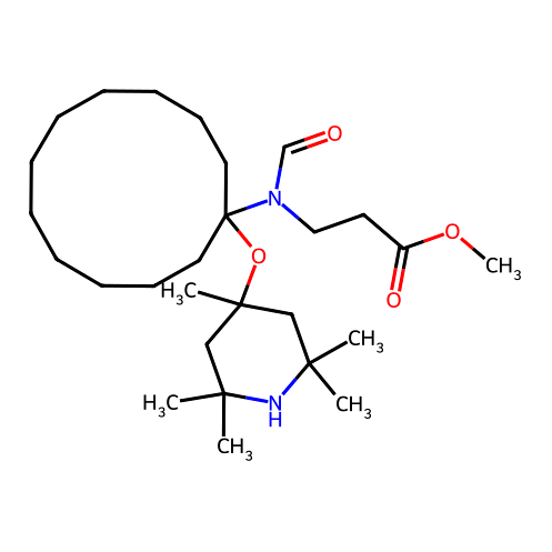 COC(=O)CCN(C=O)C1(OC2(C)CC(C)(C)NC(C)(C)C2)CCCCCCCCCCC1